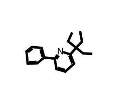 CCC(CC)(CC)c1cccc(-c2ccccc2)n1